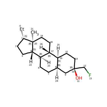 CC[C@H]1CC[C@H]2[C@@H]3CC[C@@H]4C[C@@](O)(CF)CC[C@@H]4[C@H]3CC[C@]12C